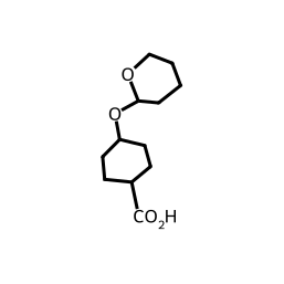 O=C(O)C1CCC(OC2CCCCO2)CC1